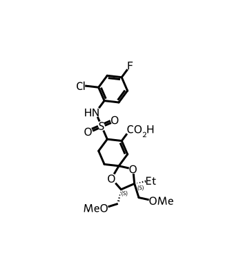 CC[C@@]1(COC)OC2(C=C(C(=O)O)C(S(=O)(=O)Nc3ccc(F)cc3Cl)CC2)O[C@H]1COC